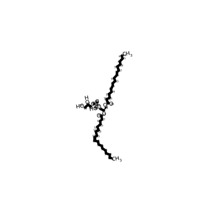 CCCCCCCCC/C=C\CCCCCCCC(=O)O[C@H](COC(=O)CCCCCCCCCCCCCCCCCC)COP(=O)(O)OC[C@@H](O)CO